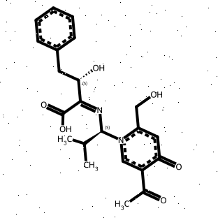 CC(=O)c1cn([C@H](N=C(C(=O)O)[C@@H](O)Cc2ccccc2)C(C)C)c(CO)cc1=O